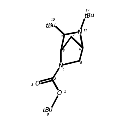 CC(C)(C)OC(=O)N1CC2CC1C(C(C)(C)C)N2C(C)(C)C